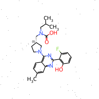 Cc1ccc2c(N3CC[C@H](CN(CC(C)C)C(=O)O)C3)nc(-c3c(O)cccc3F)nc2c1